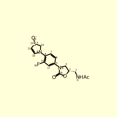 CC(=O)NC[C@H]1CN(c2ccc(N3C=C[S+]([O-])C3)c(F)c2)C(=O)O1